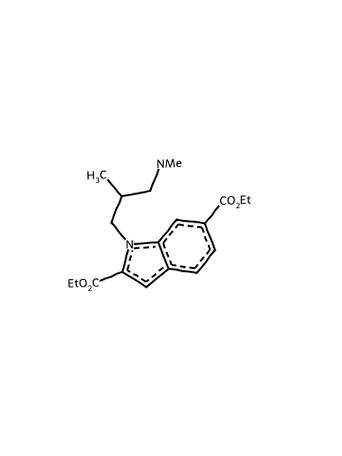 CCOC(=O)c1ccc2cc(C(=O)OCC)n(CC(C)CNC)c2c1